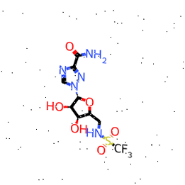 NC(=O)c1ncn([C@@H]2OC(CNS(=O)(=O)C(F)(F)F)[C@@H](O)[C@H]2O)n1